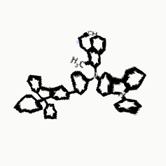 C#C/C=C\c1c(C)c(N(c2ccc(-c3ccc4c(c3)-c3ccccc3C4(C3=CCC=CC=C3)c3ccccc3)cc2)c2ccc3c(c2)c2ccccc2n3-c2ccccc2)cc2ccccc12